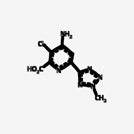 Cn1nnc(-c2cc(N)c(Cl)c(C(=O)O)n2)n1